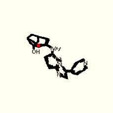 OC12CC3CC(C1)CC(Nc1ccc4ncc(-c5ccncc5)n4n1)(C3)C2